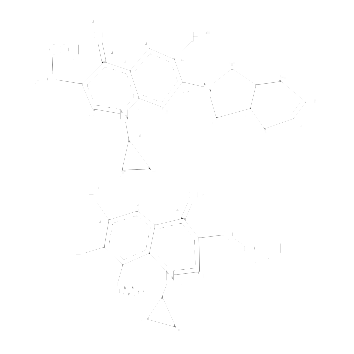 COc1c(F)c(F)cc2c(=O)c(OC(=O)O)cn(C3CC3)c12.O=C(O)Oc1cn(C2CC2)c2cc(N3CC4CC=CCC4C3)c(F)cc2c1=O